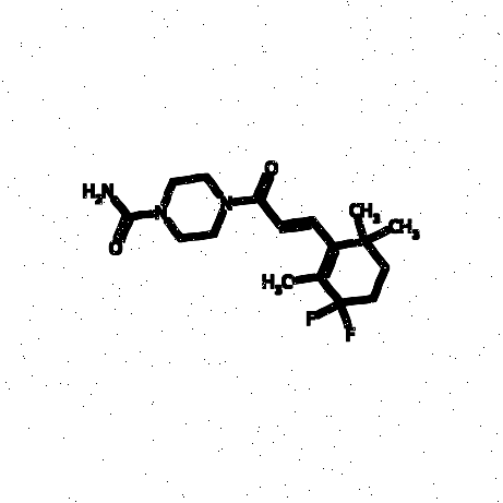 CC1=C(C=CC(=O)N2CCN(C(N)=O)CC2)C(C)(C)CCC1(F)F